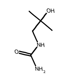 CC(C)(O)CNC(N)=O